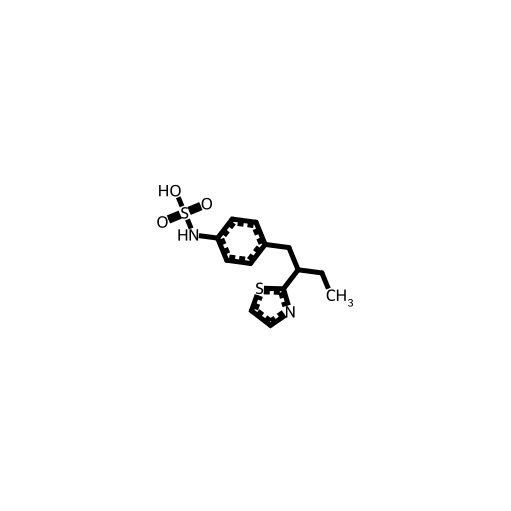 CCC(Cc1ccc(NS(=O)(=O)O)cc1)c1nccs1